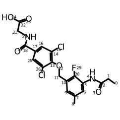 CCC(=O)Nc1cc(C)cc(COc2c(Cl)cc(C(=O)NCC(=O)O)cc2Cl)c1F